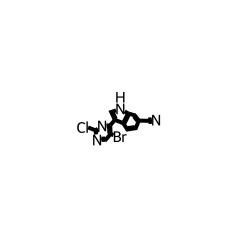 N#Cc1ccc2c(-c3nc(Cl)ncc3Br)c[nH]c2c1